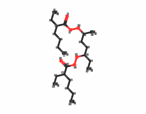 CCCCC(CC)C(=O)OOC(C)CCC(CC)OOC(=O)C(CC)CCCC